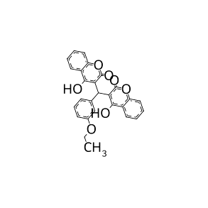 CCOc1cccc(C(c2c(O)c3ccccc3oc2=O)c2c(O)c3ccccc3oc2=O)c1